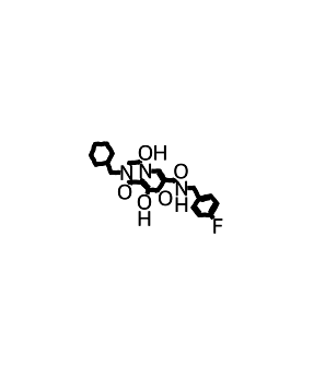 O=C(NCc1ccc(F)cc1)c1cn2c(c(O)c1=O)C(=O)N(CC1CCCCC1)CC2O